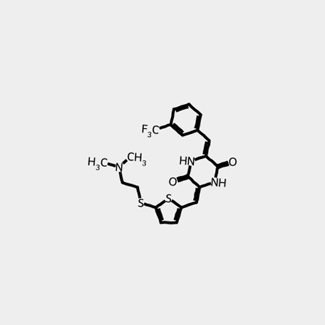 CN(C)CCSc1ccc(C=c2[nH]c(=O)c(=Cc3cccc(C(F)(F)F)c3)[nH]c2=O)s1